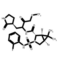 CC1(C)[C@@H]2[C@@H](C(=O)NC(C[C@@H]3CCNC3=O)C(=O)COC(F)(F)F)N(S(=O)(=O)Nc3ccccc3F)C[C@@H]21